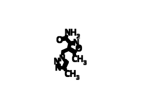 Cc1cn(Cc2c(C(N)=O)noc2C)nn1